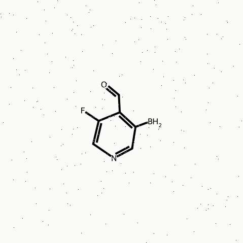 Bc1cncc(F)c1C=O